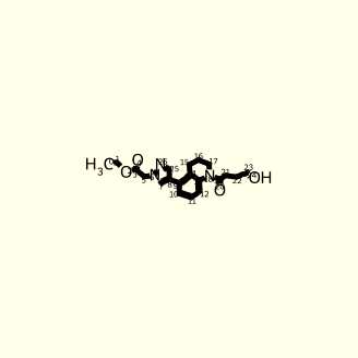 CCOC(=O)Cn1cc(-c2cccc3c2CCCN3C(=O)CCCO)cn1